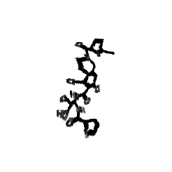 Cc1ccc(C(=O)N2CCc3c(cc(Cl)c(C(=O)N[C@@H](NC(=O)c4cccs4)C(=O)O)c3Cl)C2)s1